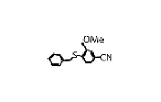 COCc1cc(C#N)ccc1SCc1ccccc1